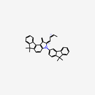 C=c1/c(=C\C=C/C)n(-c2ccc3c(c2)-c2ccccc2C3(C)C)c2ccc3c(c12)-c1ccccc1C3(C)C